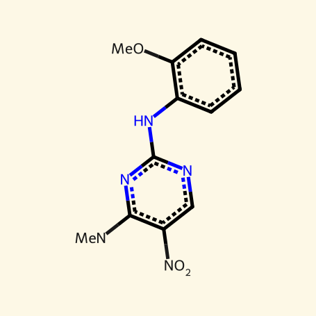 CNc1nc(Nc2ccccc2OC)ncc1[N+](=O)[O-]